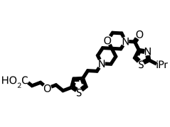 CC(C)c1nc(C(=O)N2CCOC3(CCN(CCc4csc(CCOCCC(=O)O)c4)CC3)C2)cs1